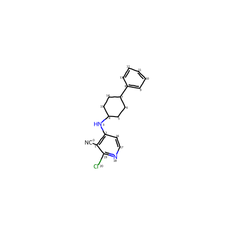 N#Cc1c(NC2CCC(c3ccccc3)CC2)ccnc1Cl